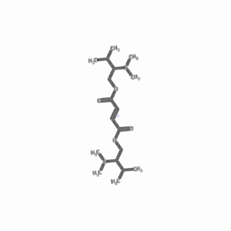 CC(C)C(COC(=O)/C=C/C(=O)OCC(C(C)C)N(C)C)N(C)C